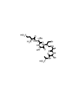 CCC[C@H](NC(=O)[C@@H](NC(=O)[C@@H](N)CCC(=O)O)[C@@H](C)CC)C(=O)N[C@H](CN[C@@H](C)C(=O)N[C@H](C(=O)N[C@@H](C)C(=O)O)C(C)C)CC(C)C